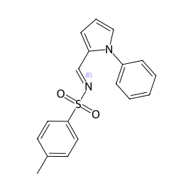 Cc1ccc(S(=O)(=O)/N=C/c2cccn2-c2ccccc2)cc1